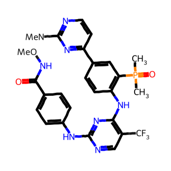 CNc1nccc(-c2ccc(Nc3nc(Nc4ccc(C(=O)NOC)cc4)ncc3C(F)(F)F)c(P(C)(C)=O)c2)n1